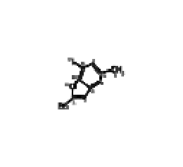 CCc1cc2cc(C)cc(I)c2o1